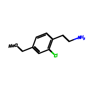 COCc1ccc(CCN)c(Cl)c1